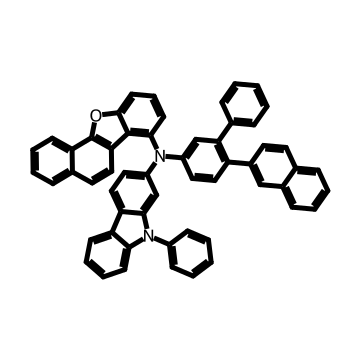 c1ccc(-c2cc(N(c3ccc4c5ccccc5n(-c5ccccc5)c4c3)c3cccc4oc5c6ccccc6ccc5c34)ccc2-c2ccc3ccccc3c2)cc1